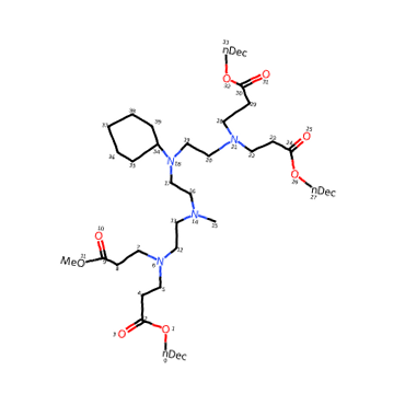 CCCCCCCCCCOC(=O)CCN(CCC(=O)OC)CCN(C)CCN(CCN(CCC(=O)OCCCCCCCCCC)CCC(=O)OCCCCCCCCCC)C1CCCCC1